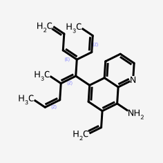 C=C/C=C(\C=C/C)C(=C(C)/C=C\C)/c1cc(C=C)c(N)c2ncccc12